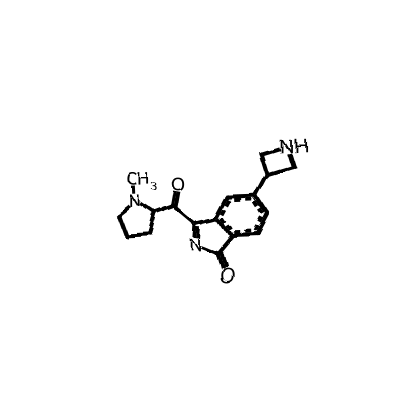 CN1CCCC1C(=O)C1=NC(=O)c2ccc(C3CNC3)cc21